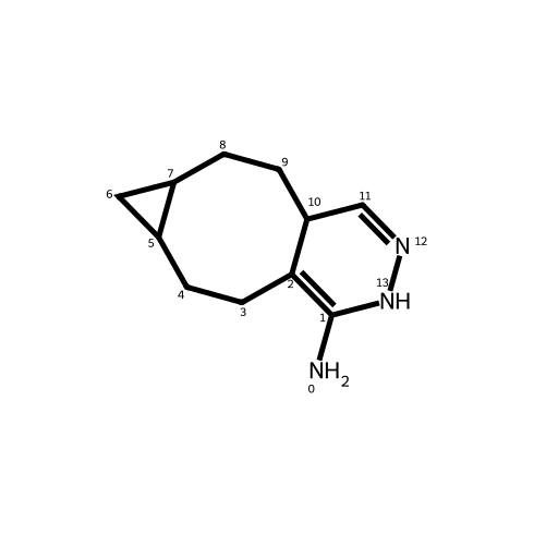 NC1=C2CCC3CC3CCC2C=NN1